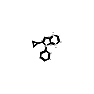 [c]1c(C2CC2)n(-c2ccccc2)c2nccnc12